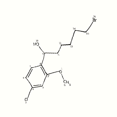 COc1cc(Cl)ccc1C(O)CCCCCBr